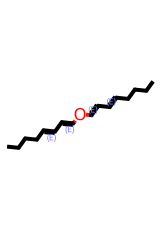 CCCC/C=C/C=C/O/C=C/C=C/CCCC